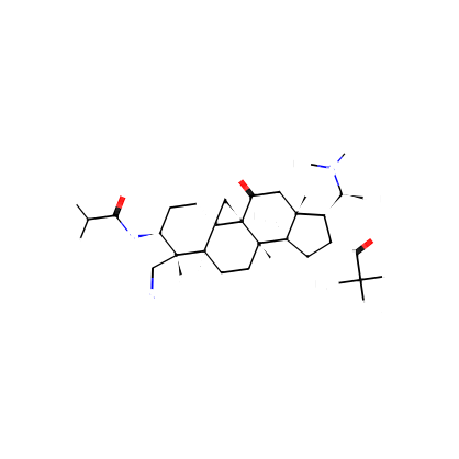 CC(C)C(=O)N[C@H]1CC[C@]23C[C@]24C(=O)C[C@]2(C)[C@@H]([C@H](C)N(C)C)[C@H](C(=O)C(C)(C)C)C[C@@]2(C)[C@@H]4CC[C@H]3[C@]1(C)CN